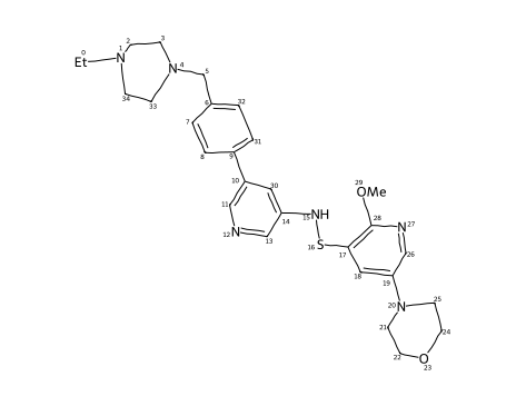 CCN1CCN(Cc2ccc(-c3cncc(NSc4cc(N5CCOCC5)cnc4OC)c3)cc2)CC1